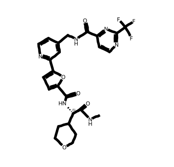 CNC(=O)[C@@H](NC(=O)c1ccc(-c2cc(CNC(=O)c3ccnc(C(F)(F)F)n3)ccn2)o1)C1CCOCC1